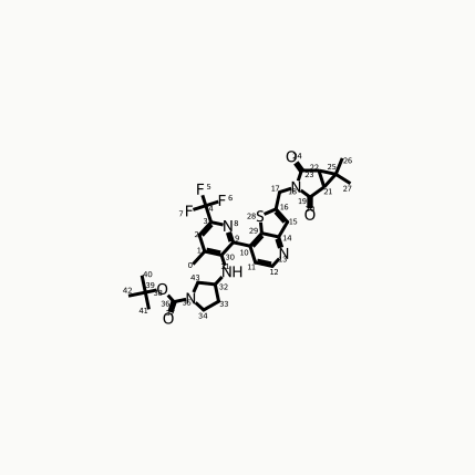 Cc1cc(C(F)(F)F)nc(-c2ccnc3cc(CN4C(=O)C5C(C4=O)C5(C)C)sc23)c1NC1CCN(C(=O)OC(C)(C)C)C1